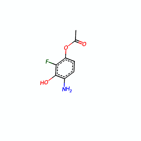 CC(=O)Oc1ccc(N)c(O)c1F